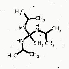 CC(C)NC([SiH3])(NC(C)C)NC(C)C